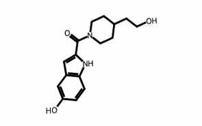 O=C(c1cc2cc(O)ccc2[nH]1)N1CCC(CCO)CC1